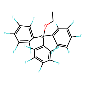 CCO[Si](c1c(F)c(F)c(F)c(F)c1F)(c1c(F)c(F)c(F)c(F)c1F)c1c(F)c(F)c(F)c(F)c1F